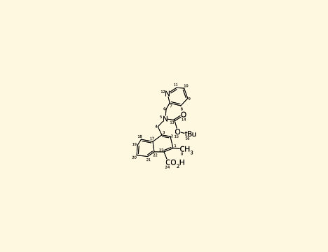 Cc1cc(CN(Cc2ccccn2)C(=O)OC(C)(C)C)c2ccccc2c1C(=O)O